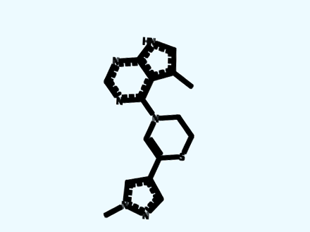 Cc1c[nH]c2ncnc(N3C=C(c4cnn(C)c4)SCC3)c12